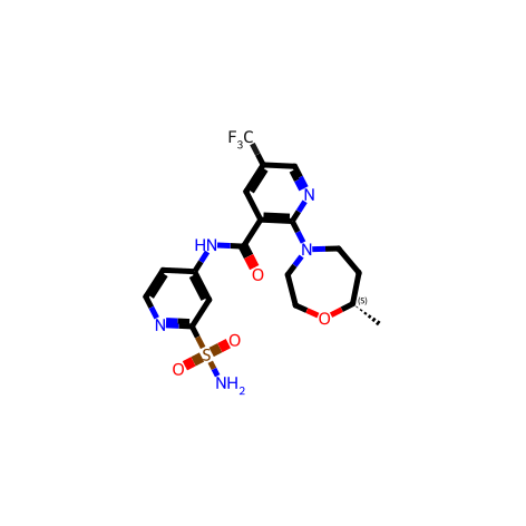 C[C@H]1CCN(c2ncc(C(F)(F)F)cc2C(=O)Nc2ccnc(S(N)(=O)=O)c2)CCO1